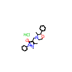 Cc1c(CN2CCOC(c3ccccc3)C2C)c(=O)n(-c2ccccc2)n1C.Cl